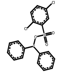 O=S(=O)(O[I+](c1ccccc1)c1ccccc1)c1cc(Cl)ccc1Cl